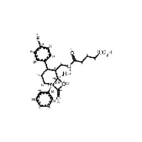 O=C(O)CCCC(=O)OCC1C(c2ccc(F)cc2)CC[N@@+]2(c3ccccc3)C(=O)O[C@H]12